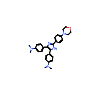 CN(C)c1ccc(-c2nc(-c3ccc(N4CCOCC4)cc3)[nH]c2-c2ccc(N(C)C)cc2)cc1